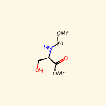 COBN[C@H](CO)C(=O)OC